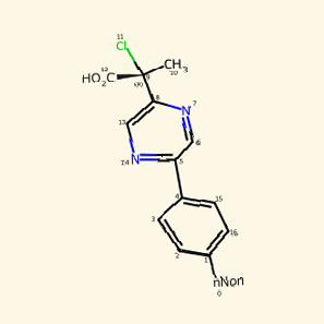 CCCCCCCCCc1ccc(-c2cnc([C@@](C)(Cl)C(=O)O)cn2)cc1